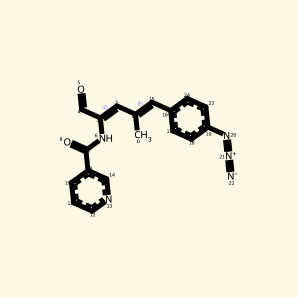 CC(/C=C(/C=O)NC(=O)c1cccnc1)=C\c1ccc(N=[N+]=[N-])cc1